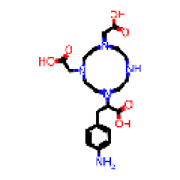 Nc1ccc(CC(C(=O)O)N2CCNCCN(CC(=O)O)CCN(CC(=O)O)CC2)cc1